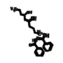 CCCCC(O)CC(O)CCC.O=C(O)c1ccccc1.O=C(O)c1ccccc1